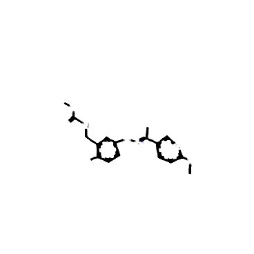 COC(=O)NCc1cc(O/N=C(\C)c2ccc(OC)nc2)ccc1C